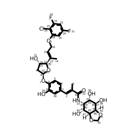 CC(=Cc1ccc(O[C@H]2C[C@H](O)[C@@H](C(C)=CCOc3cc(F)cc(F)c3Cl)O2)c(O)c1)C(=O)N[C@@H]1[C@H](O)[C@@H](O)[C@H]2OCO[C@H]2[C@@H]1O